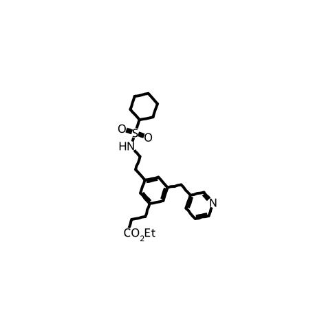 CCOC(=O)CCc1cc(CCNS(=O)(=O)C2CCCCC2)cc(Cc2cccnc2)c1